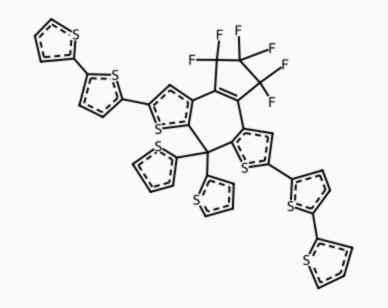 FC1(F)C2=C(c3cc(-c4ccc(-c5cccs5)s4)sc3C(c3cccs3)(c3cccs3)c3sc(-c4ccc(-c5cccs5)s4)cc32)C(F)(F)C1(F)F